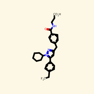 O=C(O)CCNC(=O)c1ccc(Cc2cc(-c3ccc(CC(F)(F)F)cc3)n(C3CCCCC3)n2)cc1